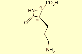 NCCC[C@H]1C(=O)N[C@@H]1C(=O)O